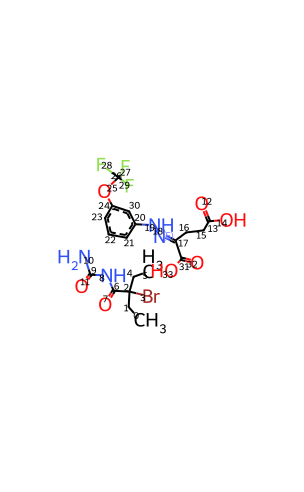 CCC(Br)(CC)C(=O)NC(N)=O.O=C(O)CC/C(=N\Nc1cccc(OC(F)(F)F)c1)C(=O)O